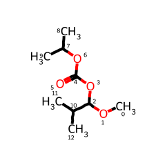 COC(OC(=O)OC(C)C)C(C)C